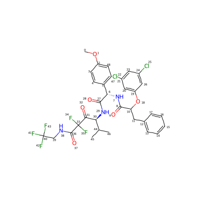 COc1ccc([C@H](NC(=O)C(Cc2ccccc2)Oc2cc(Cl)cc(Cl)c2)C(=O)N[C@H](C(=O)C(F)(F)C(=O)NCC(F)(F)F)C(C)C)cc1